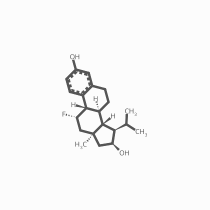 CC(C)[C@@H]1[C@H]2[C@@H]3CCc4cc(O)ccc4[C@H]3[C@@H](F)C[C@]2(C)C[C@@H]1O